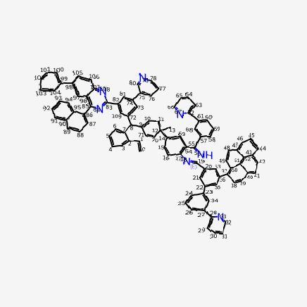 C=Cc1ccccc1C(C1=CCC(C)(c2ccc(/N=C/c3cc(-c4cccc(-c5ccccn5)c4)cc(-c4ccc5ccc6cccc7ccc4c5c67)c3)c(C(=N)c3cccc(-c4ccccn4)c3)c2)C=C1)c1cc(-c2cccnc2)cc(-c2nc(-c3cccc4ccccc34)c3cc(-c4ccccc4)ccc3n2)c1